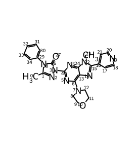 Cc1nn(-c2nc(N3CCOCC3)c3nc(-c4ccncc4)n(C)c3n2)c(=O)n1-c1ccccc1